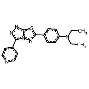 CCN(CC)c1ccc(-c2nn3c(-c4ccncc4)nnc3s2)cc1